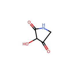 O=C1CNC(=O)C1O